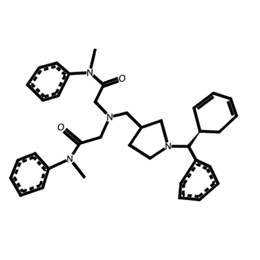 CN(C(=O)CN(CC(=O)N(C)c1ccccc1)CC1CCN(C(c2ccccc2)[C@H]2C=CC=CC2)C1)c1ccccc1